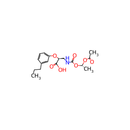 CCCc1cccc(O[C@@H](CNC(=O)O[C@@H](C)OC(C)=O)C(=O)O)c1